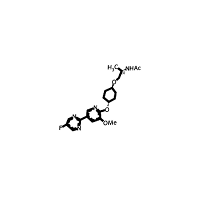 COc1cc(-c2ncc(F)cn2)cnc1O[C@H]1CC[C@H](OC[C@H](C)NC(C)=O)CC1